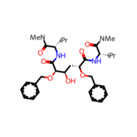 CNC(=O)[C@@H](NC(=O)[C@@H](C[C@@H](O)[C@@H](OCc1ccccc1)C(=O)N[C@H](C(=O)NC)C(C)C)OCc1ccccc1)C(C)C